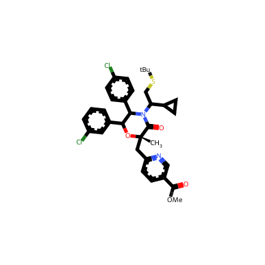 COC(=O)c1ccc(C[C@]2(C)OC(c3cccc(Cl)c3)C(c3ccc(Cl)cc3)N(C(CSC(C)(C)C)C3CC3)C2=O)nc1